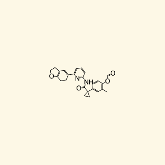 Cc1cc(C2(C(=O)Nc3cccc(C4=CC5=C(CC4)OCC5)n3)CC2)ccc1OC=O